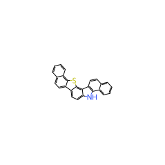 c1ccc2c(c1)ccc1c2[nH]c2ccc3c4ccc5ccccc5c4sc3c21